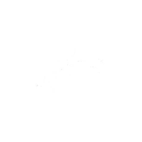 CCC(CC)(c1ccc(O)c(C)c1)C1CC(C)=C(CCC(O)C(C)(C)C)S1